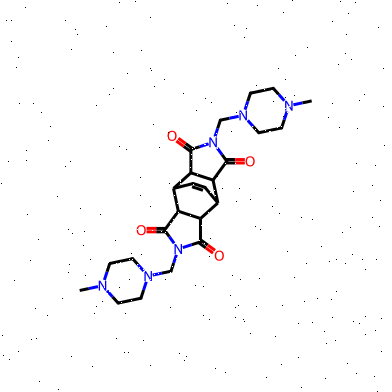 CN1CCN(CN2C(=O)C3C4C=CC(C3C2=O)C2C(=O)N(CN3CCN(C)CC3)C(=O)C42)CC1